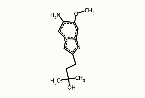 COc1cc2nc(CCC(C)(C)O)cn2cc1N